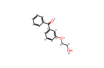 O=C(c1ccccc1)c1cccc(OCCO)c1